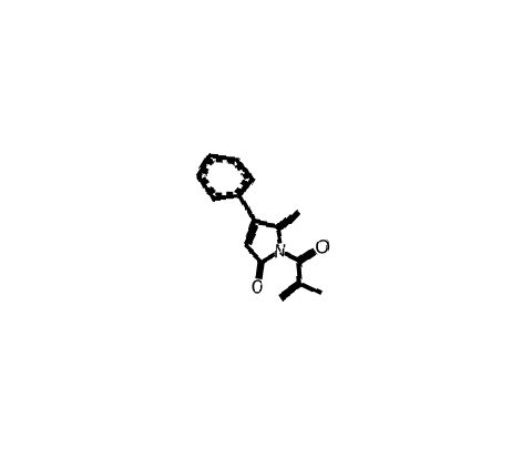 C=C(C)C(=O)N1C(=C)C(c2ccccc2)=CC1=O